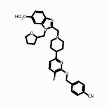 N#Cc1ccc(COc2nc(C3CCN(Cc4nc5ccc(C(=O)O)cc5n4CC4CCCO4)CC3)ccc2F)cc1